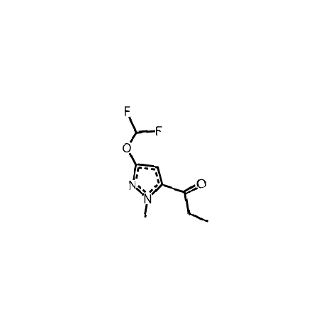 CCC(=O)c1cc(OC(F)F)nn1C